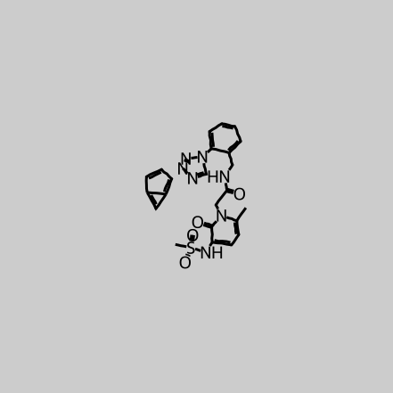 Cc1ccc(NS(C)(=O)=O)c(=O)n1CC(=O)NCc1ccccc1-n1cnnn1.c1cc2cc-2c1